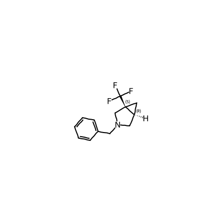 FC(F)(F)[C@@]12C[C@H]1CN(Cc1ccccc1)C2